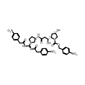 O=C(Cc1ccc([N+](=O)[O-])cc1)N=C(NC(=O)Cc1ccc([N+](=O)[O-])cc1)N1CC[C@H](NC(=O)CC(O)[C@@H]2C[C@H](S)CN2C(=O)OCc2ccc([N+](=O)[O-])cc2)C1